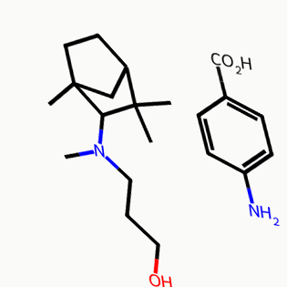 CN(CCCO)C1C2(C)CCC(C2)C1(C)C.Nc1ccc(C(=O)O)cc1